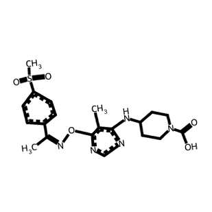 CC(=NOc1ncnc(NC2CCN(C(=O)O)CC2)c1C)c1ccc(S(C)(=O)=O)cc1